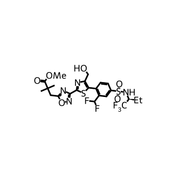 CC[C@H](NS(=O)(=O)c1ccc(-c2sc(-c3noc(CC(C)(C)C(=O)OC)n3)nc2CO)c(C(F)F)c1)C(F)(F)F